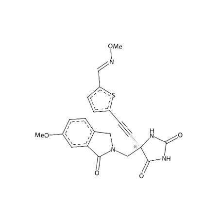 CON=Cc1ccc(C#C[C@]2(CN3Cc4ccc(OC)cc4C3=O)NC(=O)NC2=O)s1